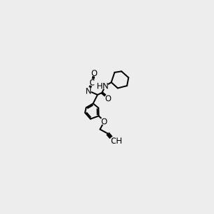 C#CCOc1cccc(C(N=C=O)C(=O)NC2CCCCC2)c1